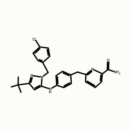 CC(C)(C)c1cc(Nc2ccc(Cc3cccc(C(N)=O)n3)cc2)n(Cc2ccc(Cl)cc2)n1